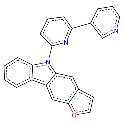 c1cncc(-c2cccc(-n3c4ccccc4c4cc5occc5cc43)n2)c1